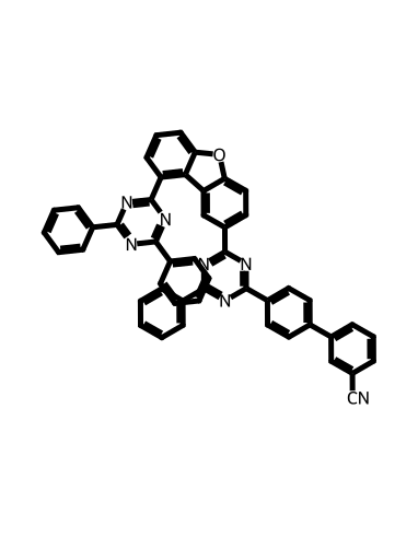 N#Cc1cccc(-c2ccc(-c3nc(-c4ccccc4)nc(-c4ccc5oc6cccc(-c7nc(-c8ccccc8)nc(-c8ccccc8)n7)c6c5c4)n3)cc2)c1